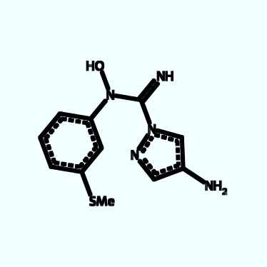 CSc1cccc(N(O)C(=N)n2cc(N)cn2)c1